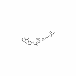 C=CC(=O)OCCCCOCC(O)COC(=C)CSc1ccc2c(c1)C(=C)c1ccccc1S2